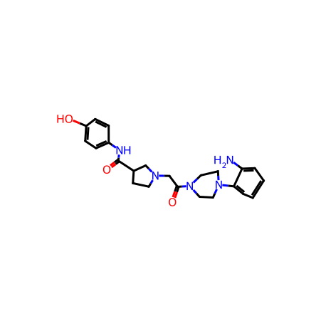 Nc1ccccc1N1CCN(C(=O)CN2CCC(C(=O)Nc3ccc(O)cc3)C2)CC1